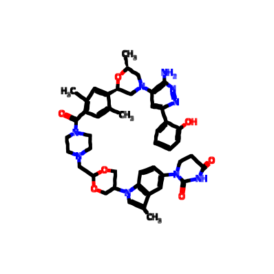 Cc1cc([C@@H]2CN(c3cc(-c4ccccc4O)nnc3N)C[C@H](C)O2)c(C)cc1C(=O)N1CCN(CC2OCC(n3cc(C)c4cc(N5CCC(=O)NC5=O)ccc43)CO2)CC1